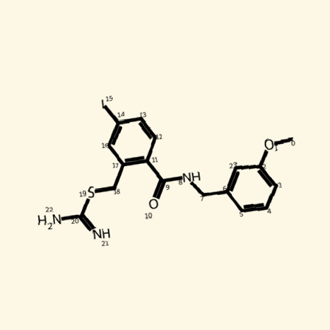 COc1cccc(CNC(=O)c2ccc(I)cc2CSC(=N)N)c1